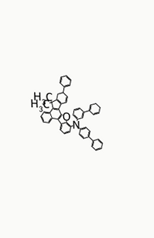 CC1(C)C2=C(C=CC(c3ccccc3)C2)c2c1c1ccccc1c1c2oc2c(N(c3ccc(-c4ccccc4)cc3)c3cccc(C4=CCCC=C4)c3)cccc21